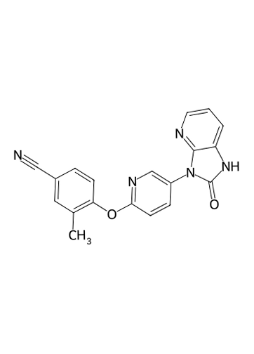 Cc1cc(C#N)ccc1Oc1ccc(-n2c(=O)[nH]c3cccnc32)cn1